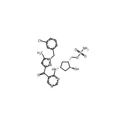 Cc1cc(C(=O)c2cncnc2N[C@@H]2C[C@H](COS(N)(=O)=O)[C@@H](O)C2)nn1Cc1cccc(Cl)c1